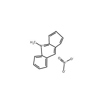 C[n+]1c2ccccc2cc2ccccc21.O=[N+]([O-])[O-]